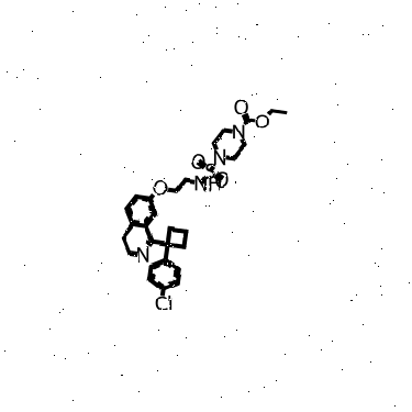 CCOC(=O)N1CCN(S(=O)(=O)NCCOc2ccc3c(c2)C(C2(c4ccc(Cl)cc4)CCC2)=NCC3)CC1